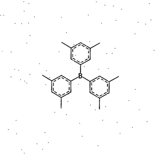 Cc1cc(C)cc(B(c2cc(C)cc(C)c2)c2cc(C)cc(C)c2)c1